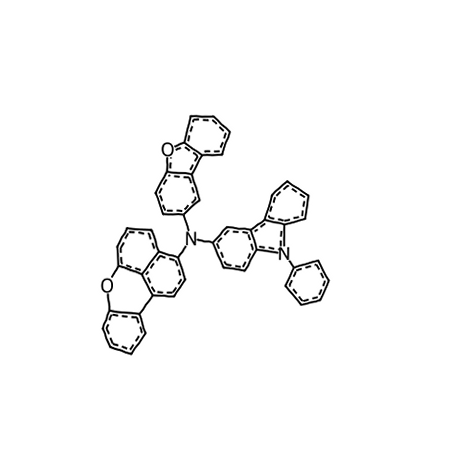 c1ccc(-n2c3ccccc3c3cc(N(c4ccc5oc6ccccc6c5c4)c4ccc5c6c(cccc46)Oc4ccccc4-5)ccc32)cc1